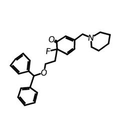 O=C1C=C(CN2CCCCC2)C=CC1(F)CCOC(c1ccccc1)c1ccccc1